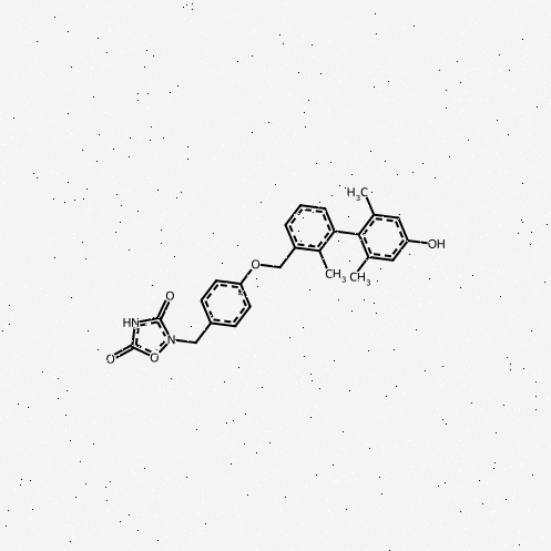 Cc1cc(O)cc(C)c1-c1cccc(COc2ccc(Cn3oc(=O)[nH]c3=O)cc2)c1C